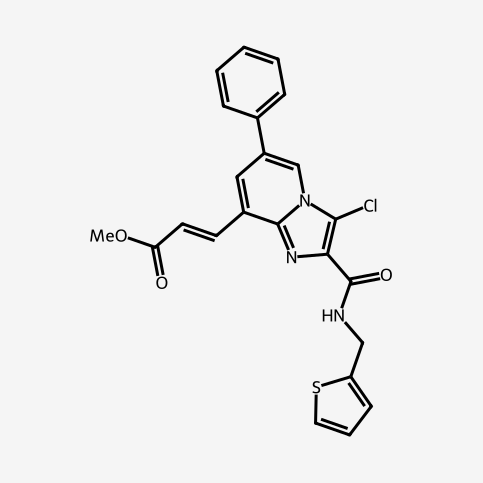 COC(=O)C=Cc1cc(-c2ccccc2)cn2c(Cl)c(C(=O)NCc3cccs3)nc12